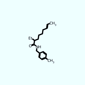 C/C=C/CCCCC(CC)C(=O)NCc1ccc(C)cc1